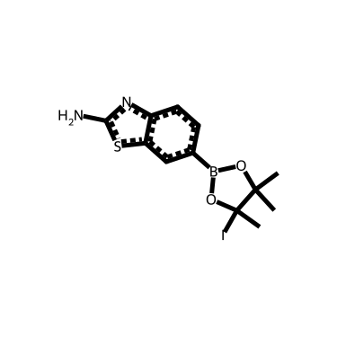 CC1(C)OB(c2ccc3nc(N)sc3c2)OC1(C)I